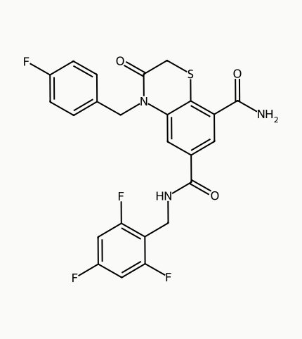 NC(=O)c1cc(C(=O)NCc2c(F)cc(F)cc2F)cc2c1SCC(=O)N2Cc1ccc(F)cc1